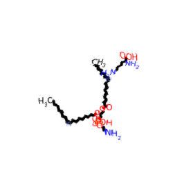 CCCCCCCC/C=C\CCCCCCCC(=O)OCC(COP(=O)(O)OCCN)OC(=O)CCCCCCC/C=C\CCCCCCCC.NCCCCC(N)C(=O)O